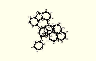 c1ccc(-c2cc(-c3cccc4oc5cccc(-c6ccc7ccc8cccnc8c7n6)c5c34)nc(-c3ccccc3)n2)cc1